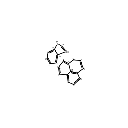 C1=Cc2cccc3cccc(c23)C1.c1ccc2scnc2c1